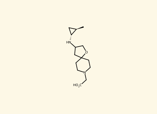 C[C@@H]1C[C@H]1NC1COC2(CCN(CC(=O)O)CC2)C1